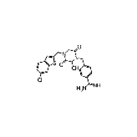 CC1C(=O)N(Cc2cc3ccc(Cl)cc3s2)CC(=O)N1Cc1ccc(C(=N)N)cc1